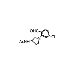 CC(=O)NC1CCN(c2cc(Cl)ccc2C=O)C1